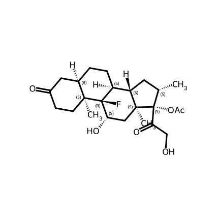 CC(=O)O[C@@]1(C(=O)CO)[C@@H](C)C[C@H]2[C@@H]3CC[C@@H]4CC(=O)CC[C@]4(C)[C@@]3(F)[C@@H](O)C[C@@]21C